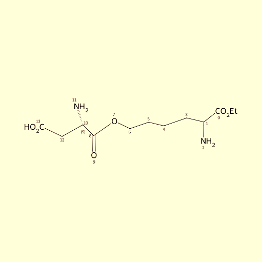 CCOC(=O)C(N)CCCCOC(=O)[C@@H](N)CC(=O)O